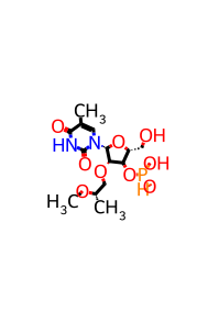 CO[C@@H](C)CO[C@H]1C(O[PH](=O)O)[C@@H](CO)O[C@H]1n1cc(C)c(=O)[nH]c1=O